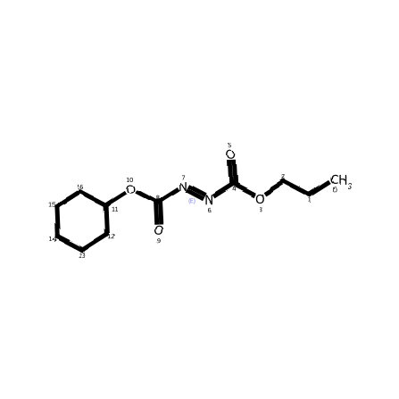 CCCOC(=O)/N=N/C(=O)OC1CCCCC1